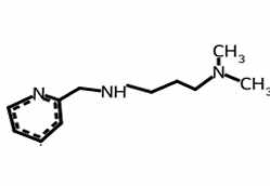 CN(C)CCCCNCc1c[c]ccn1